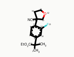 CCOC(=O)C(C)(C)c1ccc(C2(C#N)CCOC2)c(F)c1